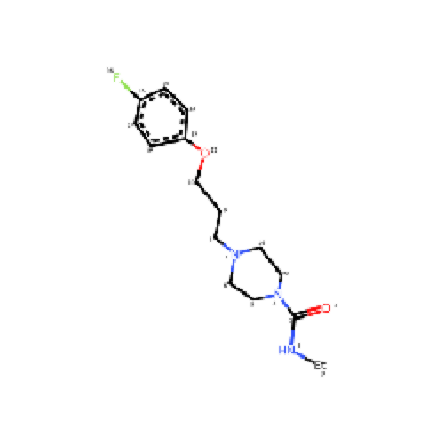 CCNC(=O)N1CCN(CCCOc2ccc(F)cc2)CC1